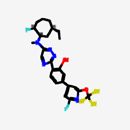 CC[C@@H]1CCC[C@H](F)[C@H](N(C)c2cnc(-c3ccc(-c4cc(F)nc(OC(S)(S)S)c4)cc3O)nn2)C1